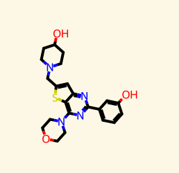 Oc1cccc(-c2nc(N3CCOCC3)c3sc(CN4CCC(O)CC4)cc3n2)c1